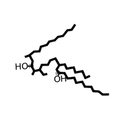 CCCCCCCCCCCC(C)C[C@H](O)C(C)C(CC)CCCCC(CCCCCCC)C[C@H](O)CCCCCCCCCCC